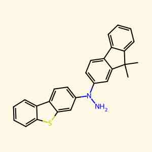 CC1(C)c2ccccc2-c2ccc(N(N)c3ccc4c(c3)sc3ccccc34)cc21